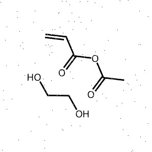 C=CC(=O)OC(C)=O.OCCO